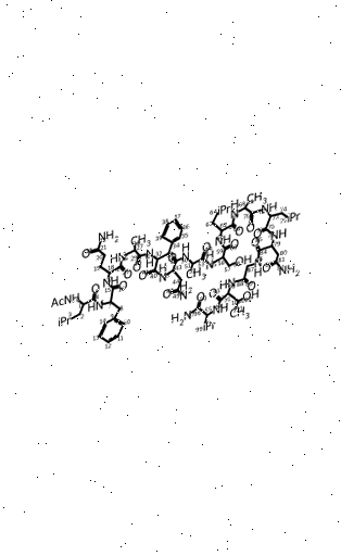 CC(=O)NC(CC(C)C)C(=O)NC(Cc1ccccc1)C(=O)NC(CCC(N)=O)C(=O)NC(C)C(=O)NC(Cc1ccccc1)C(=O)NC(CC(N)=O)C(=O)NC(C)C(=O)NC(CO)C(=O)NC(CC(C)C)C(=O)NC(C)C(=O)NC(CC(C)C)C(=O)NC(CC(N)=O)C(=O)NCC(=O)NC(C(=O)NC(C(N)=O)C(C)C)C(C)O